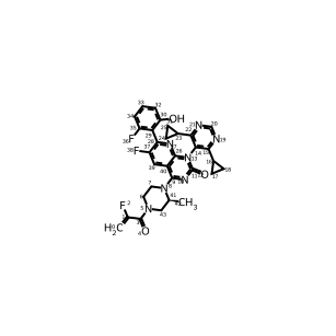 C=C(F)C(=O)N1CCN(c2nc(=O)n(-c3c(C4CC4)ncnc3C3CC3)c3nc(-c4c(O)cccc4F)c(F)cc23)[C@@H](C)C1